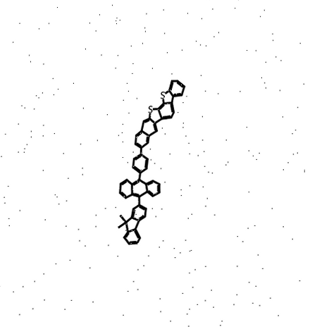 CC1(C)c2ccccc2-c2ccc(-c3c4ccccc4c(-c4ccc(-c5ccc6cc7sc8c(ccc9c%10ccccc%10sc98)c7cc6c5)cc4)c4ccccc34)cc21